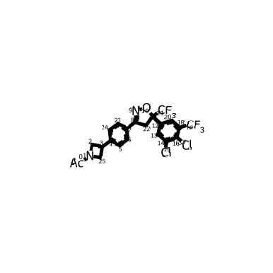 CC(=O)N1CC(c2ccc(C3=NOC(c4cc(Cl)c(Cl)c(C(F)(F)F)c4)(C(F)(F)F)C3)cc2)C1